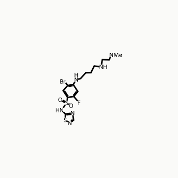 CNCCNCCCCNc1cc(F)c(S(=O)(=O)Nc2ncns2)cc1Br